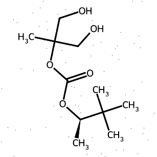 C[C@@H](OC(=O)OC(C)(CO)CO)C(C)(C)C